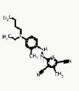 CCCCN(CC)c1ccc(NNc2sc(C#N)c(C)c2C#N)c(C)c1